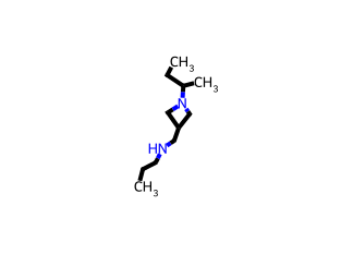 CCCNCC1CN(C(C)CC)C1